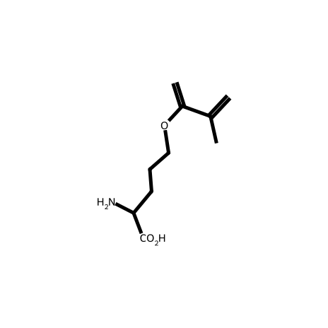 C=C(C)C(=C)OCCCC(N)C(=O)O